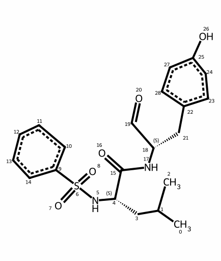 CC(C)C[C@H](NS(=O)(=O)c1ccccc1)C(=O)N[C@H](C=O)Cc1ccc(O)cc1